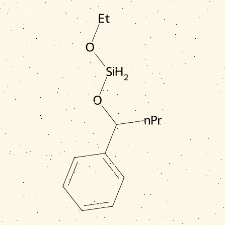 CCCC(O[SiH2]OCC)c1ccccc1